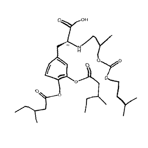 CCC(C)CC(=O)Oc1ccc(C[C@H](NCC(C)OC(=O)OCCC(C)C)C(=O)O)cc1OC(=O)CC(C)CC